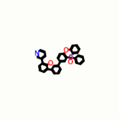 O=P1(c2ccccc2)c2ccccc2Oc2ccc(-c3cccc4c3oc3c(-c5cccnc5)cccc34)cc21